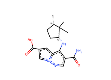 C[C@H]1CC[C@@H](Nc2c(C(N)=O)cnn3cc(C(=O)O)cc23)C1(C)C